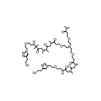 CC(=O)CCc1cn(CCOCCNC(=O)CN(C)C(=O)CN(C)C(=O)CCOCCN(CCOCCC(=O)N(C)C)CCOCCC(=O)N(C)CC(=O)C(C)N(C)CC(=O)C(C)(C)NCCOCCn2cc(CCC(C)=O)nn2)nn1